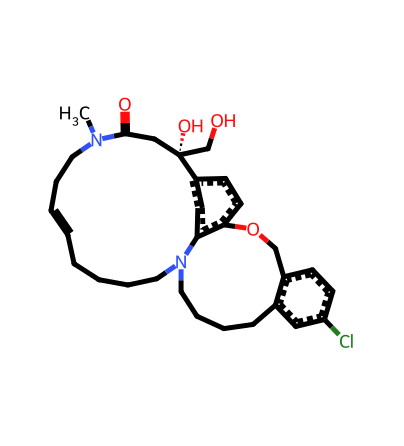 CN1CC/C=C/CCCCN2CCCCc3cc(Cl)ccc3COc3ccc(cc32)[C@](O)(CO)CC1=O